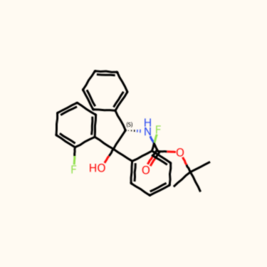 CC(C)(C)OC(=O)N[C@@H](c1ccccc1)C(O)(c1ccccc1F)c1ccccc1F